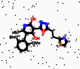 CCCCc1nc(O)c(-c2nnc(CCc3nccs3)o2)c(O)c1-c1c(OC)cccc1OC